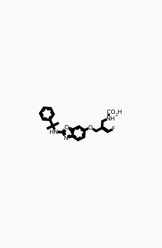 CC(C)(Nc1nc2ccc(OCC(=CF)CNC(=O)O)cc2o1)c1ccccc1